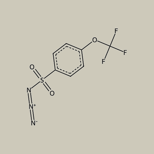 [N-]=[N+]=NS(=O)(=O)c1ccc(OC(F)(F)F)cc1